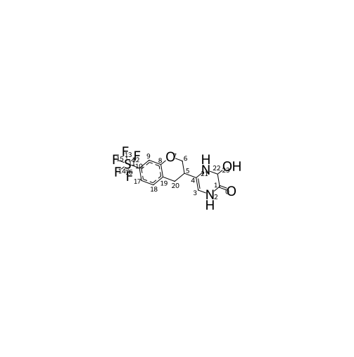 O=C1NC=C(C2COc3cc(S(F)(F)(F)(F)F)ccc3C2)NC1O